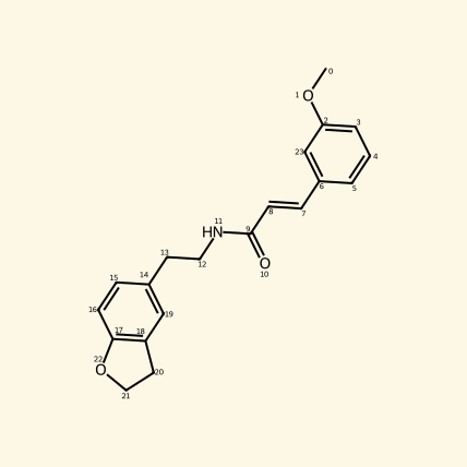 COc1cccc(C=CC(=O)NCCc2ccc3c(c2)CCO3)c1